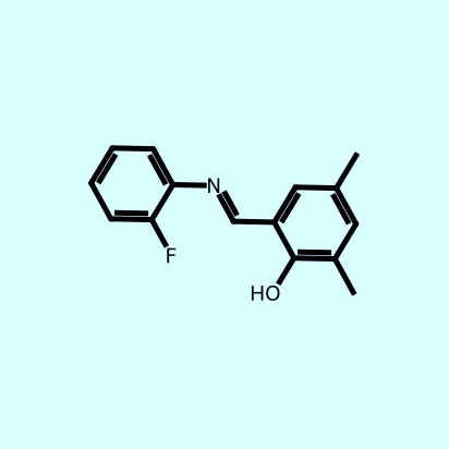 Cc1cc(C)c(O)c(/C=N/c2ccccc2F)c1